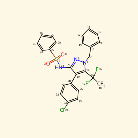 O=S(=O)(Nc1nn(Cc2ccccc2)c(C(F)(F)C(F)(F)F)c1-c1ccc(Cl)cc1)c1ccccc1